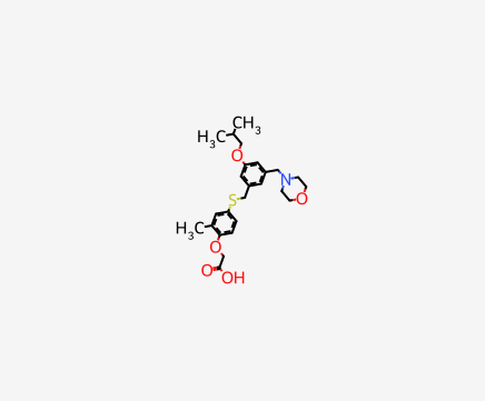 Cc1cc(SCc2cc(CN3CCOCC3)cc(OCC(C)C)c2)ccc1OCC(=O)O